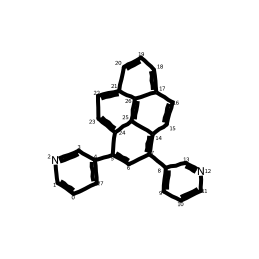 c1cncc(-c2cc(-c3cccnc3)c3ccc4cccc5ccc2c3c54)c1